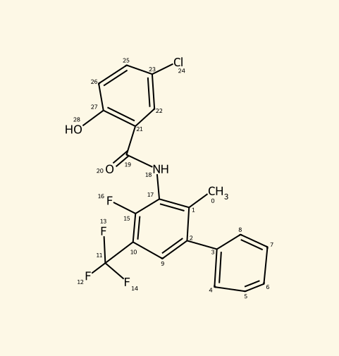 Cc1c(-c2ccccc2)cc(C(F)(F)F)c(F)c1NC(=O)c1cc(Cl)ccc1O